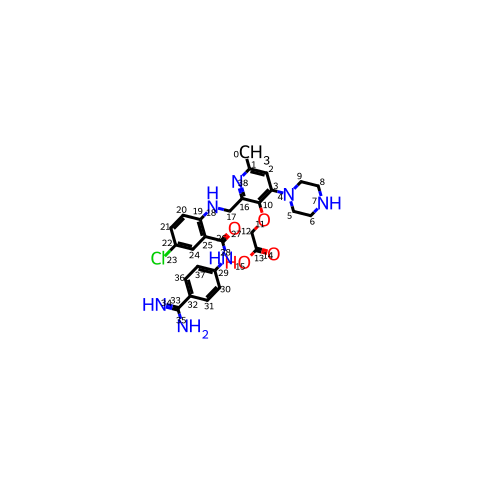 Cc1cc(N2CCNCC2)c(OCC(=O)O)c(CNc2ccc(Cl)cc2C(=O)Nc2ccc(C(=N)N)cc2)n1